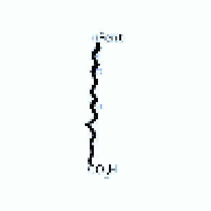 CCCCC/C=C/C=C/CC/C=C/CCCCCCC(=O)O